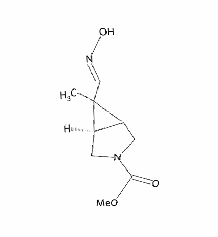 COC(=O)N1CC2[C@@H](C1)C2(C)/C=N/O